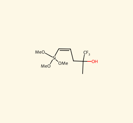 CO[Si](/C=C\CC(C)(O)C(F)(F)F)(OC)OC